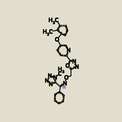 Cc1cccc(Oc2ccc(-c3nnc(CO/N=C(/c4ccccc4)c4nnnn4C)o3)nc2)c1C